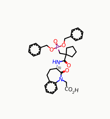 O=C(O)CN1C(=O)[C@@H](NC(=O)C2(CP(=O)(OCc3ccccc3)OCc3ccccc3)CCCC2)CCc2ccccc21